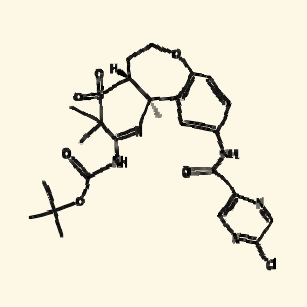 CC(C)(C)OC(=O)NC1=N[C@]2(C)c3cc(NC(=O)c4cnc(Cl)cn4)ccc3OCC[C@H]2S(=O)(=O)C1(C)C